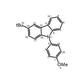 COc1ccc(-n2c3ccccc3c3cc(C(C)(C)C)ccc32)cc1